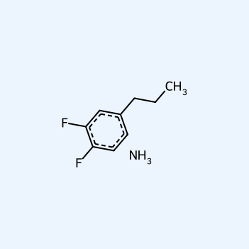 CCCc1ccc(F)c(F)c1.N